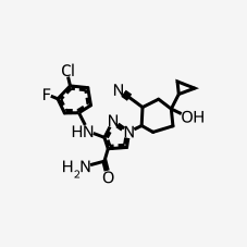 N#CC1CC(O)(C2CC2)CCC1n1cc(C(N)=O)c(Nc2ccc(Cl)c(F)c2)n1